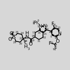 CC(C)n1nc(-c2cc(OC(F)F)ncc2F)c2c1CC(C(=O)NC1(C)CCS(=O)(=O)CC1)CC2